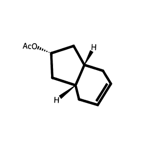 CC(=O)O[C@H]1C[C@H]2CC=CC[C@H]2C1